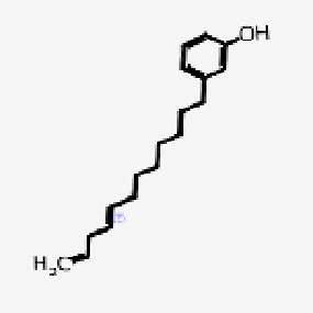 C=CC/C=C/CCCCCCCc1cccc(O)c1